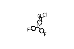 O=C(CCl)N1CCN(C(c2ccc(F)cc2)c2ccc(F)cc2)CC1